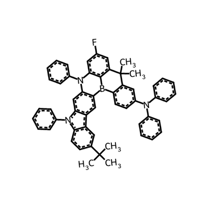 CC(C)(C)c1ccc2c(c1)c1cc3c(cc1n2-c1ccccc1)N(c1ccccc1)c1cc(F)cc2c1B3c1ccc(N(c3ccccc3)c3ccccc3)cc1C2(C)C